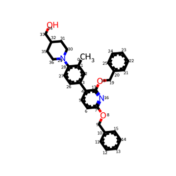 Cc1cc(-c2ccc(OCc3ccccc3)nc2OCc2ccccc2)ccc1N1CCC(CO)CC1